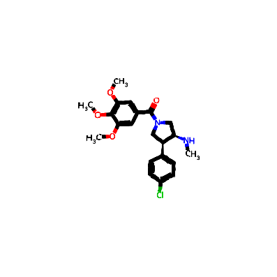 CN[C@@H]1CN(C(=O)c2cc(OC)c(OC)c(OC)c2)C[C@@H]1c1ccc(Cl)cc1